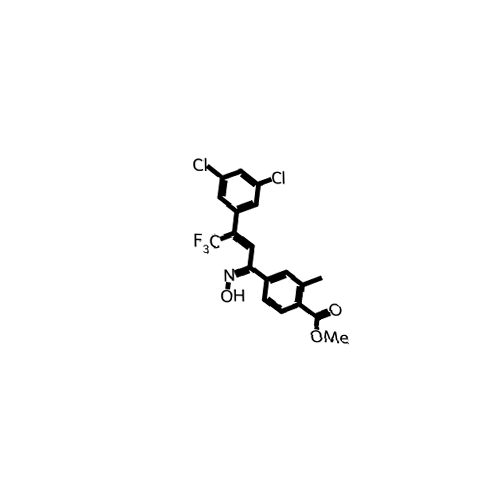 COC(=O)c1ccc(C(/C=C(/c2cc(Cl)cc(Cl)c2)C(F)(F)F)=N\O)cc1C